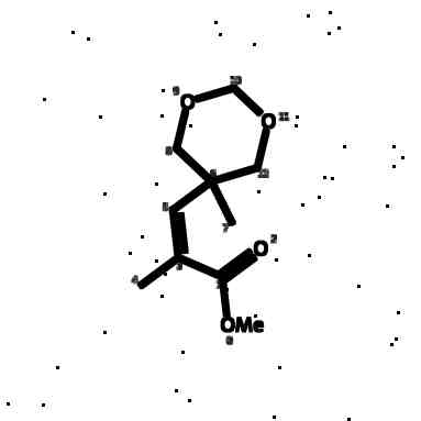 COC(=O)C(C)=CC1(C)COCOC1